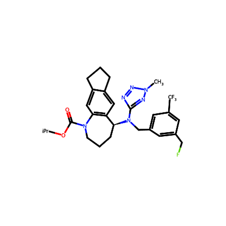 CC(C)OC(=O)N1CCC[C@H](N(Cc2cc(CF)cc(C(F)(F)F)c2)c2nnn(C)n2)c2cc3c(cc21)CCC3